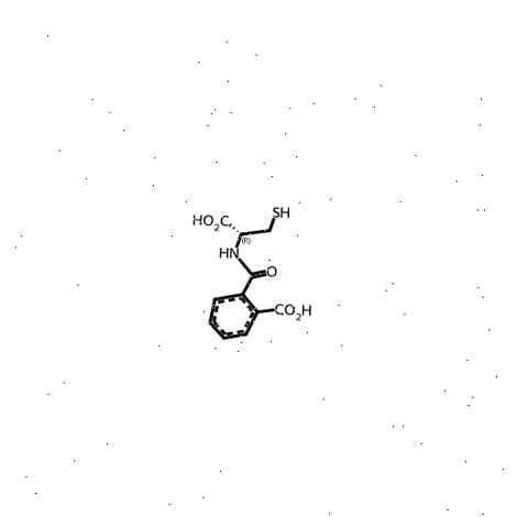 O=C(O)c1ccccc1C(=O)N[C@@H](CS)C(=O)O